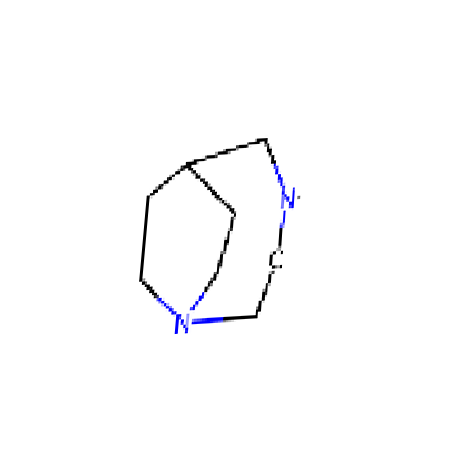 C1CN2CCC(CC2)C[N]1